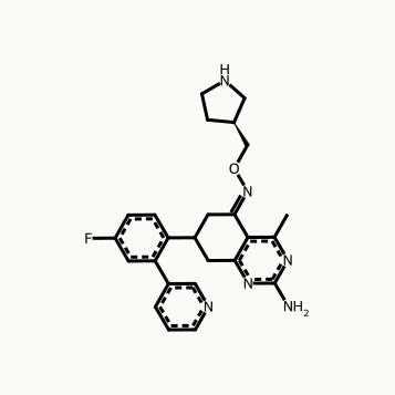 Cc1nc(N)nc2c1/C(=N/OC[C@H]1CCNC1)CC(c1ccc(F)cc1-c1cccnc1)C2